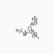 CCc1ncc(-c2cc(C(C)=O)nc3cc(CN4CCOC(C(F)(F)F)C4)ccc23)s1